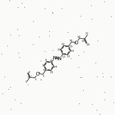 C=C(C)COCc1ccc(/N=N/c2ccc(COCC(=C)C)cc2)cc1